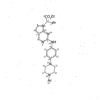 CCOC(=O)C(C(C)C)n1ccc2cnc(Nc3ccc(N4CCN(C(C)=O)CC4)cc3)nc21